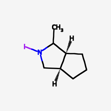 CC1[C@H]2CCC[C@H]2CN1I